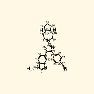 Cn1cnc2cc(-c3sc(N4CC[C@H]5CCC[C@H]5CC4)nc3-c3ccc(C#N)cc3)ccc21